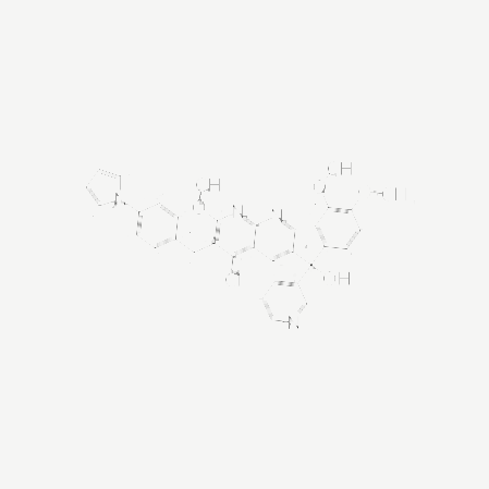 COc1ccc(C(O)(c2cccnc2)c2cnc3nc(OC)c(Cc4ccc(-n5cccc5)cc4)c(Cl)c3c2)cc1OC